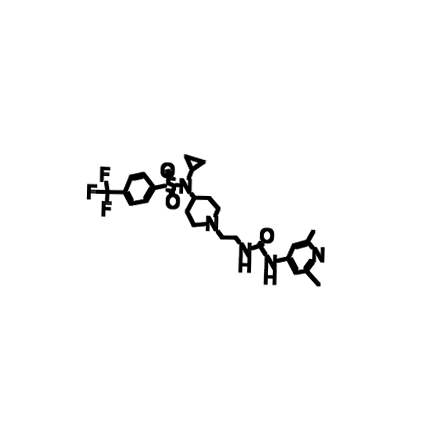 Cc1cc(NC(=O)NCCN2CCC(N(C3CC3)S(=O)(=O)c3ccc(C(F)(F)F)cc3)CC2)cc(C)n1